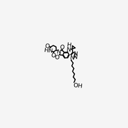 O=C1CCC(N2C(=O)c3cccc(NC4(c5cn(CCCCCCCCCO)nn5)CC4)c3C2=O)C(=O)N1